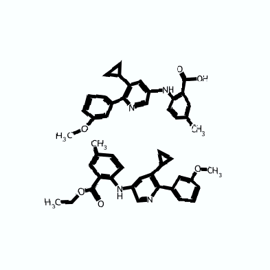 CCOC(=O)c1cc(C)ccc1Nc1cnc(-c2cccc(OC)c2)c(C2CC2)c1.COc1cccc(-c2ncc(Nc3ccc(C)cc3C(=O)O)cc2C2CC2)c1